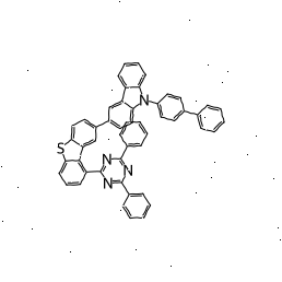 c1ccc(-c2ccc(-n3c4ccccc4c4cc(-c5ccc6sc7cccc(-c8nc(-c9ccccc9)nc(-c9ccccc9)n8)c7c6c5)ccc43)cc2)cc1